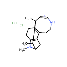 CC1C2CC3=C(CCC4=C3CCN/C=C\C41C)N2C.Cl.Cl